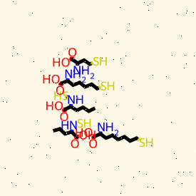 CCCC(NS)C(=O)O.CCCCC(NS)C(=O)O.NC(CCCCCCS)C(=O)O.NC(CCCCCS)C(=O)O.NC(CCS)C(=O)O